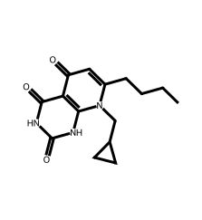 CCCCc1cc(=O)c2c(=O)[nH]c(=O)[nH]c2n1CC1CC1